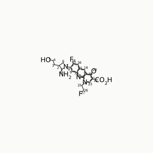 NC1C(CCO)CN1c1cc2nc3c(cc2cc1F)c(=O)c(C(=O)O)cn3CCF